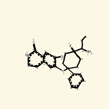 CC[C@@H](N)C1(F)CCC(Oc2cc3cc[nH]c(=O)c3cc2Cl)(c2ccccc2)CC1